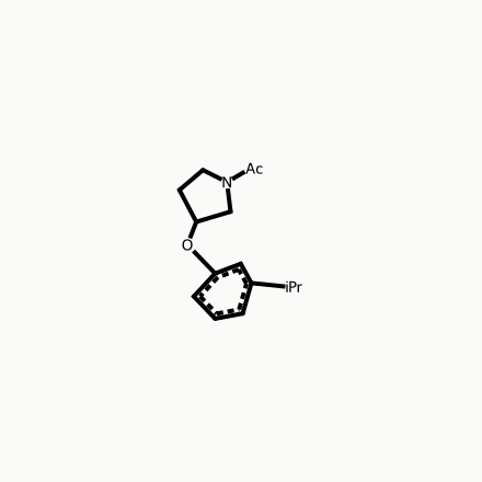 CC(=O)N1CCC(Oc2cccc(C(C)C)c2)C1